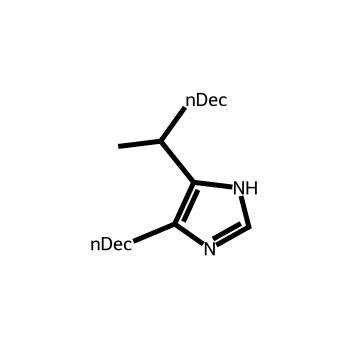 CCCCCCCCCCc1nc[nH]c1C(C)CCCCCCCCCC